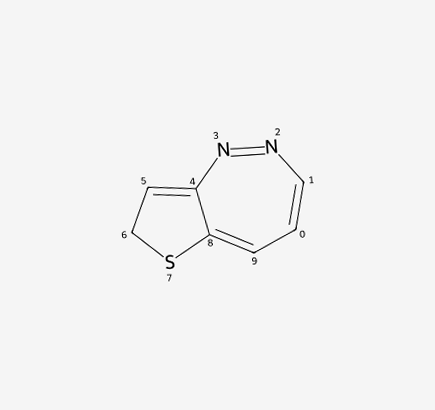 C1=CN=NC2=CCSC2=C1